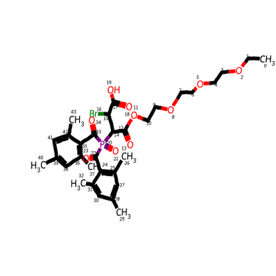 CCOCCOCCOCCOC(=O)C(C(Br)C(=O)O)P(=O)(C(=O)c1c(C)cc(C)cc1C)C(=O)c1c(C)cc(C)cc1C